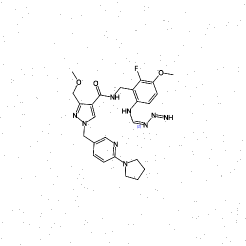 COCc1nn(Cc2ccc(N3CCCC3)nc2)cc1C(=O)NCc1c(N/C=N\N=N)ccc(OC)c1F